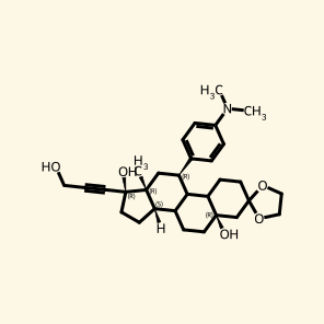 CN(C)c1ccc([C@@H]2C[C@]3(C)[C@@H](CC[C@]3(O)C#CCO)C3CC[C@@]4(O)CC5(CCC4C32)OCCO5)cc1